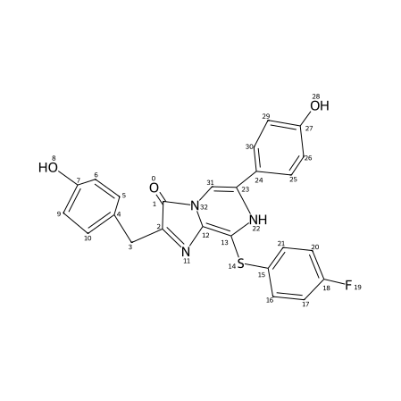 O=c1c(Cc2ccc(O)cc2)nc2c(Sc3ccc(F)cc3)[nH]c(-c3ccc(O)cc3)cn1-2